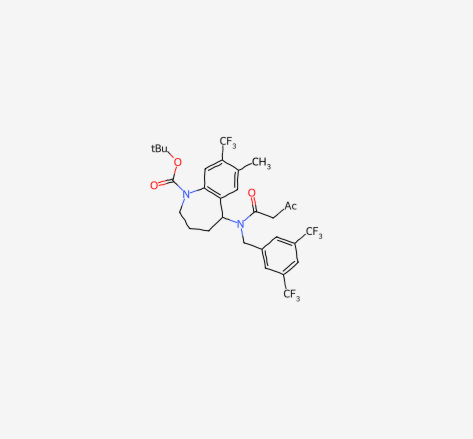 CC(=O)CC(=O)N(Cc1cc(C(F)(F)F)cc(C(F)(F)F)c1)C1CCCN(C(=O)OC(C)(C)C)c2cc(C(F)(F)F)c(C)cc21